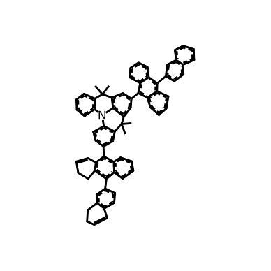 CC1(C)c2ccccc2N2c3ccc(-c4c5c(c(-c6ccc7c(c6)CCC=C7)c6ccccc46)CCC=C5)cc3C(C)(C)c3cc(-c4c5ccccc5c(-c5ccc6ccccc6c5)c5ccccc45)cc1c32